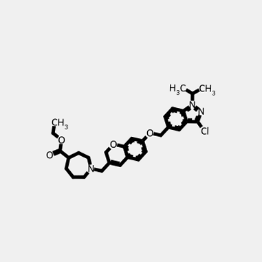 CCOC(=O)C1CCCN(CC2=Cc3ccc(OCc4ccc5c(c4)c(Cl)nn5C(C)C)cc3OC2)CC1